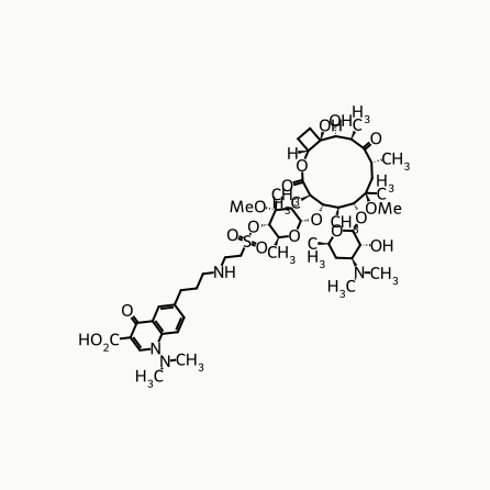 CO[C@]1(C)C[C@@H](C)C(=O)[C@H](C)[C@@H](O)[C@@]2(O)CC[C@H]2OC(=O)[C@H](C)[C@@H](O[C@H]2C[C@@](C)(OC)[C@@H](OS(=O)(=O)CCNCCCc3ccc4c(c3)c(=O)c(C(=O)O)cn4N(C)C)[C@H](C)O2)[C@H](C)[C@H]1O[C@@H]1O[C@H](C)C[C@H](N(C)C)[C@H]1O